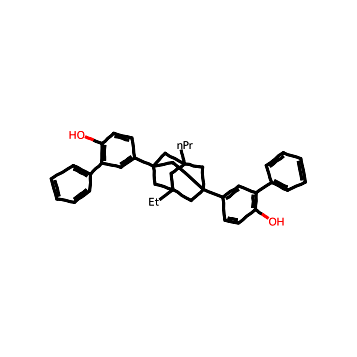 CCCC12CC3(CC)CC(c4ccc(O)c(-c5ccccc5)c4)(C1)CC(c1ccc(O)c(-c4ccccc4)c1)(C3)C2